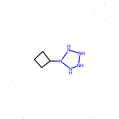 C1C[C](n2[nH][nH][nH][nH]2)C1